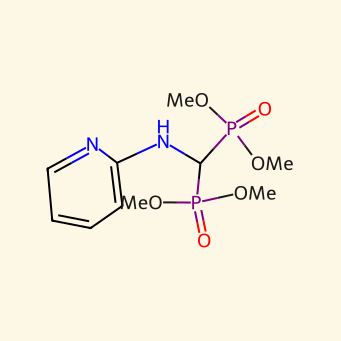 COP(=O)(OC)C(Nc1ccccn1)P(=O)(OC)OC